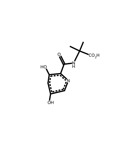 CC(C)(NC(=O)c1ncc(O)cc1O)C(=O)O